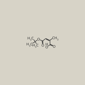 CC(=CC(=O)OC(C)(C)C)C(=O)O